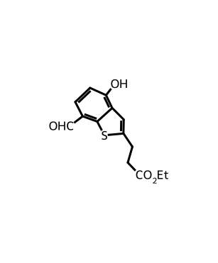 CCOC(=O)CCc1cc2c(O)ccc(C=O)c2s1